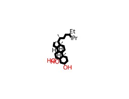 CC[C@H](CC[C@@H](C)[C@H]1CC[C@H]2[C@@H]3C[C@@H](O)[C@@]4(O)C[C@@H](O)CC[C@]4(C)[C@H]3CC[C@]12C)C(C)C